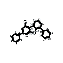 Clc1cc(-c2ccccc2)cc2oc3c(-c4ccccc4)cccc3c12